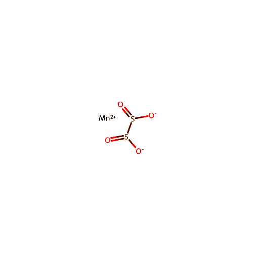 O=S([O-])S(=O)[O-].[Mn+2]